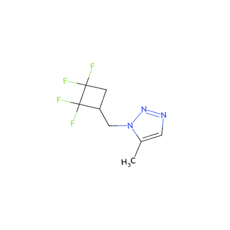 Cc1cnnn1CC1CC(F)(F)C1(F)F